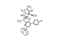 C#CC(C(=O)Oc1c(-c2ccc(F)cc2)cc(C23CC4CC(CC(C4)C2)C3)nc1C(C)C)(C(C)O)[PH](=O)OC